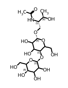 CC(=O)N[C@@H](CO[C@@H]1OC(CO)[C@@H](O[C@@H]2OC(CO)[C@H](O)C(O)C2O)C(O)C1O)[C@@H](C)O